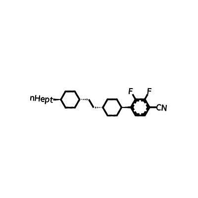 CCCCCCC[C@H]1CC[C@H](CC[C@H]2CC[C@H](c3ccc(C#N)c(F)c3F)CC2)CC1